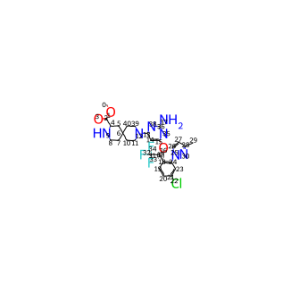 COC(=O)C1CC2(CCN1)CCN(c1cc(O[C@H](c3ccc(Cl)cc3-n3ccc(C)n3)C(F)(F)F)nc(N)n1)CC2